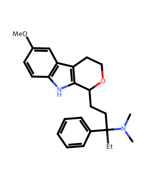 CCC(CCC1OCCc2c1[nH]c1ccc(OC)cc21)(c1ccccc1)N(C)C